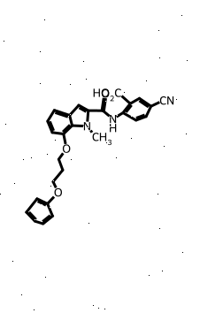 Cn1c(C(=O)Nc2ccc(C#N)cc2C(=O)O)cc2cccc(OCCCOc3ccccc3)c21